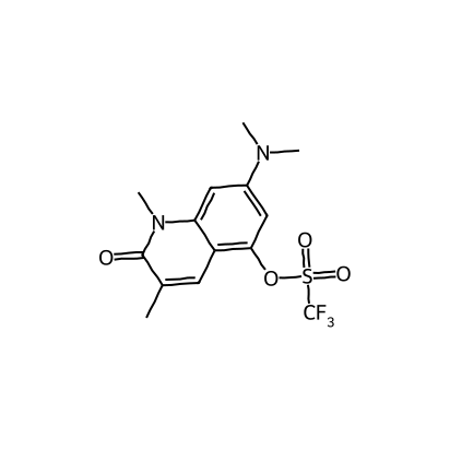 Cc1cc2c(OS(=O)(=O)C(F)(F)F)cc(N(C)C)cc2n(C)c1=O